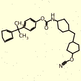 CC(C)(C1=CCCC=C1)c1ccc(OC(=O)NC2CCC(CC3CCC(OC#N)CC3)CC2)cc1